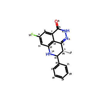 C[C@H]1c2n[nH]c(=O)c3cc(F)cc(c23)NC1c1ccccc1